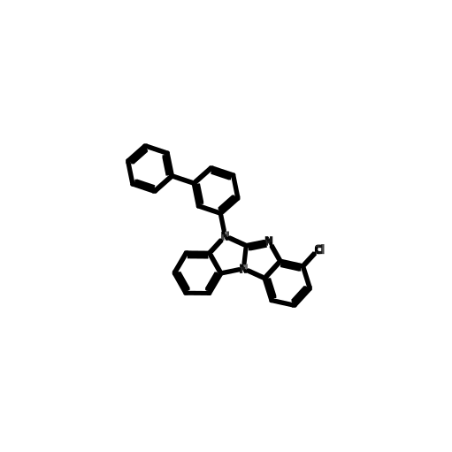 Clc1cccc2c1nc1n(-c3cccc(-c4ccccc4)c3)c3ccccc3n21